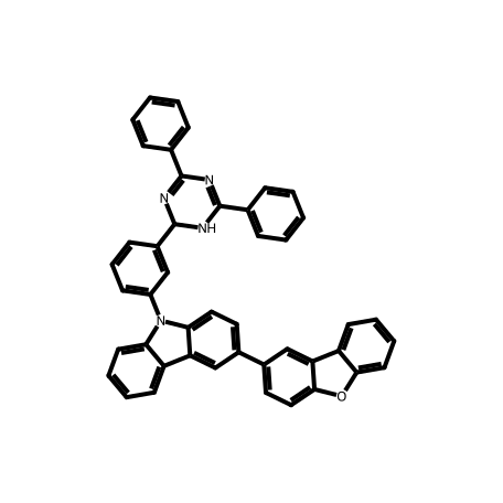 c1ccc(C2=NC(c3cccc(-n4c5ccccc5c5cc(-c6ccc7oc8ccccc8c7c6)ccc54)c3)NC(c3ccccc3)=N2)cc1